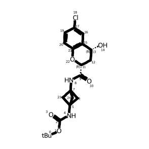 CC(C)(C)OC(=O)NC12CC(NC(=O)[C@H]3C[C@@H](O)c4cc(Cl)ccc4O3)(C1)C2